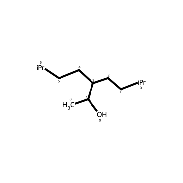 CC(C)CCC(CCC(C)C)C(C)O